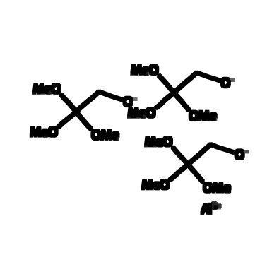 COC(C[O-])(OC)OC.COC(C[O-])(OC)OC.COC(C[O-])(OC)OC.[Al+3]